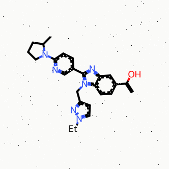 C=C(O)c1ccc2c(c1)nc(-c1ccc(N3CCCC3C)nc1)n2Cc1ccn(CC)n1